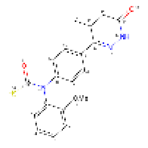 COc1ccccc1N(C(=O)S)c1ccc(C2=NNC(=O)CC2C)cc1